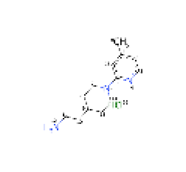 Cc1ccnc(N2CCC(CCN)CC2)c1.Cl